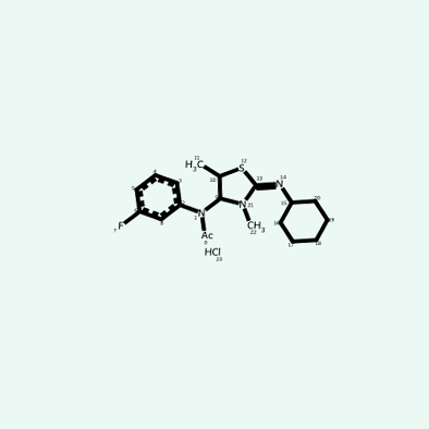 CC(=O)N(c1cccc(F)c1)C1C(C)SC(=NC2CCCCC2)N1C.Cl